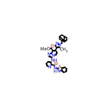 COC(=O)c1c(-c2cnn(CC34CC5CC(CC(C5)C3)C4)c2C)ccn2c(Nc3cccnc3C(=O)Nc3nc4ccccc4s3)cnc12